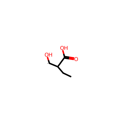 CCC([CH]O)C(=O)O